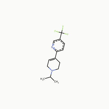 CC(C)N1CC=C(c2ccc(C(F)(F)F)cn2)CC1